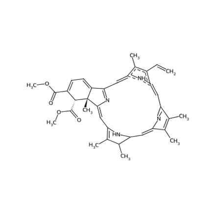 C=Cc1c(C)/c2[nH]/c1=C\C1=NC(=C\C3NC(=C(C)C3C)/C=C3N=C(/C=2)C2=CC=C(C(=O)OC)[C@@H](C(=O)OC)[C@]2\3C)/C(C)=C1C